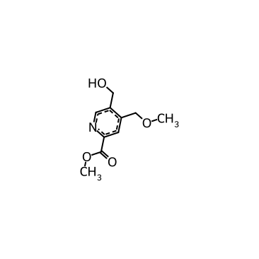 COCc1cc(C(=O)OC)ncc1CO